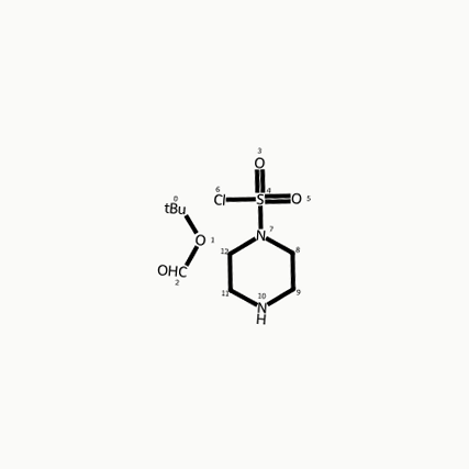 CC(C)(C)OC=O.O=S(=O)(Cl)N1CCNCC1